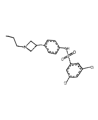 CCCN1CC(c2ccc(NS(=O)(=O)c3cc(Cl)cc(Cl)c3)cc2)C1